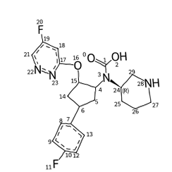 O=C(O)N(C1CC(c2ccc(F)cc2)CC1Oc1cc(F)cnn1)[C@@H]1CCCNC1